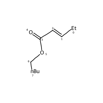 CCC=CC(=O)OCCCCC